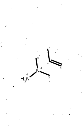 C=CC.CN(C)N